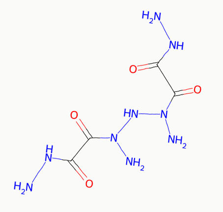 NNC(=O)C(=O)N(N)NN(N)C(=O)C(=O)NN